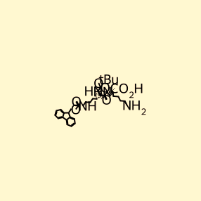 CC(C)(C)OC(=O)N[C@@H](CCCCNC(=O)OCC1c2ccccc2-c2ccccc21)C(=O)N[C@@H](CCCCN)C(=O)O